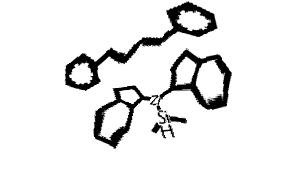 C(C=Cc1ccccc1)=Cc1ccccc1.C[SiH](C)[Zr]([CH]1CCC2C=CC=CC21)[CH]1CCC2C=CC=CC21